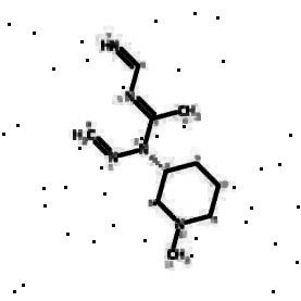 C=NN(/C(C)=N/C=N)[C@@H]1CCCN(C)C1